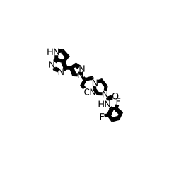 N#CCC(CN1CCN(C(=O)Nc2c(F)cccc2F)CC1)n1cc(-c2ncnc3[nH]ccc23)cn1